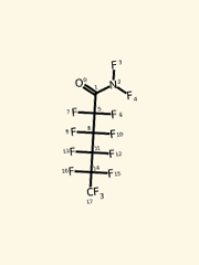 O=C(N(F)F)C(F)(F)C(F)(F)C(F)(F)C(F)(F)C(F)(F)F